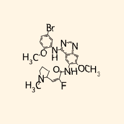 COc1cc2ncnc(Nc3cc(Br)ccc3OC)c2cc1NC(=O)/C(F)=C\C1CCCN1C